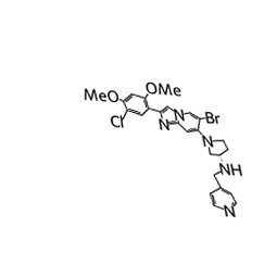 COc1cc(OC)c(-c2cn3cc(Br)c(N4CC[C@H](NCc5ccncc5)C4)cc3n2)cc1Cl